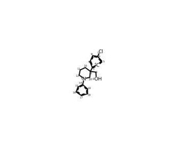 OCC1(c2ccc(Cl)cc2)CCCN(c2ccccc2)C1